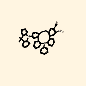 CC1(C)c2ccccc2N(c2ccc3c(c2)-c2ccccc2B(c2ccccc2)c2ccccc2-c2cc(N)c(C#N)cc2CC3)c2ccccc21